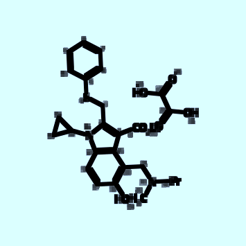 CCOC(=O)c1c(CSc2ccccc2)n(C2CC2)c2ccc(O)c(CN(C)C(C)C)c12.O=C(O)C(=O)O